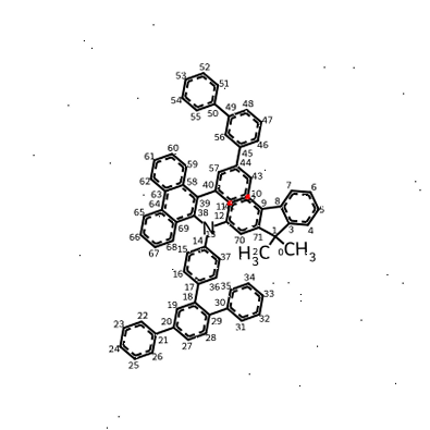 CC1(C)c2ccccc2-c2ccc(N(c3ccc(-c4cc(-c5ccccc5)ccc4-c4ccccc4)cc3)c3c(-c4cccc(-c5cccc(-c6ccccc6)c5)c4)c4ccccc4c4ccccc34)cc21